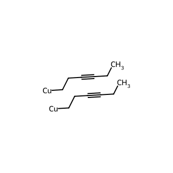 CCC#CC[CH2][Cu].CCC#CC[CH2][Cu]